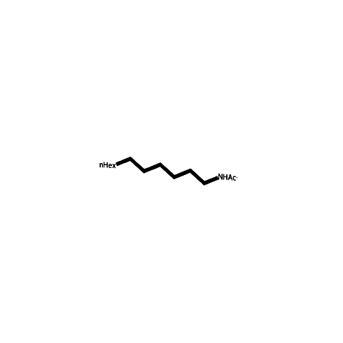 [CH2]C(=O)[N]CCCCCCCCCCCC